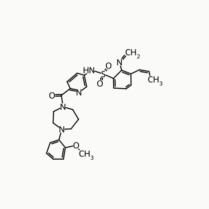 C=Nc1c(/C=C\C)cccc1S(=O)(=O)Nc1ccc(C(=O)N2CCCN(c3ccccc3OC)CC2)nc1